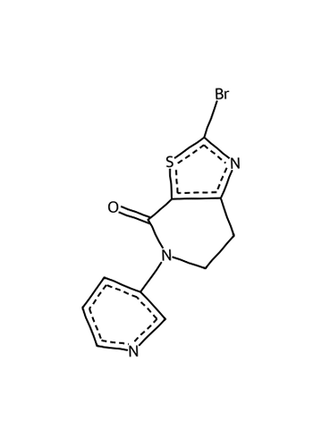 O=C1c2sc(Br)nc2CCN1c1cccnc1